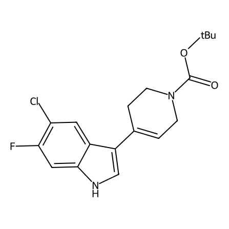 CC(C)(C)OC(=O)N1CC=C(c2c[nH]c3cc(F)c(Cl)cc23)CC1